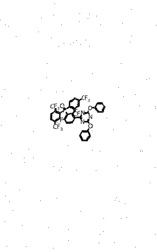 O=P(c1ccc(C(F)(F)F)cc1C(F)(F)F)(c1cc(C(F)(F)F)ccc1C(F)(F)F)c1c(F)ccc(-c2nc(Oc3ccccc3)nc(Oc3ccccc3)n2)c1F